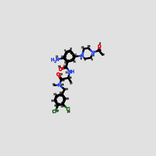 CC(=O)N1CCN(c2ccc(N)c(C(=O)NC(C)C(=O)N(C)Cc3ccc(Cl)c(Cl)c3)c2)CC1